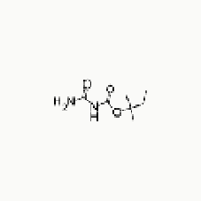 CCC(C)(C)OC(=O)NC(N)=O